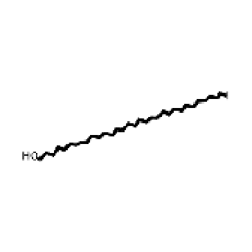 OCCCCCCCCCCCCCCCCCCCCCCCCCCCCCCCCI